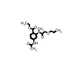 C=CCOCC(=O)N(C)c1cc(NC(C)=O)ccc1C(=O)OCC